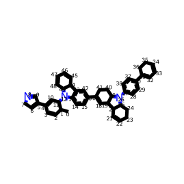 CC1C=CC(C2=CCN=C2)=CC1N1c2ccc(C3=CC4C5C=CCCC5N(c5ccc(C6=CC=CCC6)cc5)C4CC3)cc2C2C=CC=CC21